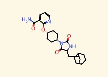 NC(=O)c1cccnc1O[C@H]1CC[C@H](N2C(=O)NC(CC3CC4CCC3CC4)C2=O)CC1